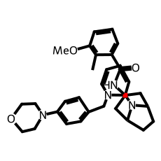 COc1cccc(C(=O)NC2CC3CCC(C2)N3C2C=CC=CN2Cc2ccc(N3CCOCC3)cc2)c1C